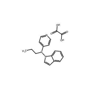 CCCN(c1ccncc1)n1ccc2ccccc21.O=C(O)C(=O)O